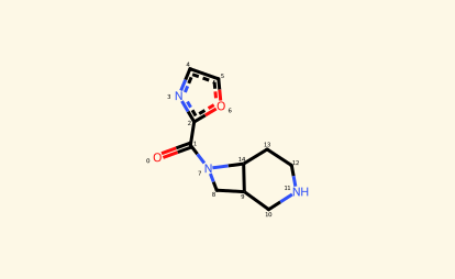 O=C(c1ncco1)N1CC2CNCCC21